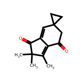 CC1=C2C(=O)CC3(C=C2C(=O)C1(C)C)CC3